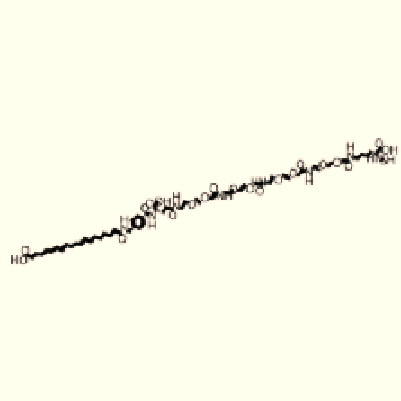 O=C(O)CCCCCCCCCCCCCCCCCCC(=O)NC[C@H]1CC[C@H](C(=O)N[C@@H](CCC(=O)NCCOCCOCC(=O)NCCOCCOCC(=O)NCCOCCOCC(=O)NCCOCCOCC(=O)NCCCC[C@H](NS)C(=O)O)C(=O)O)CC1